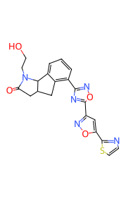 O=C1CC2Cc3c(-c4noc(-c5cc(-c6nccs6)on5)n4)cccc3C2N1CCO